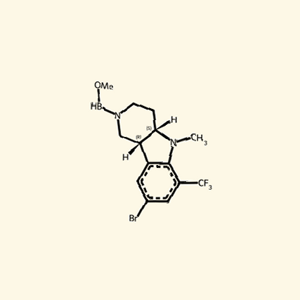 COBN1CC[C@H]2[C@@H](C1)c1cc(Br)cc(C(F)(F)F)c1N2C